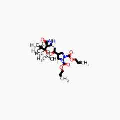 C=CCOC(=O)N1CC(C(=O)C[C@H]2NC(=O)[C@@H]2[C@@](C)(O[SiH](C)C)C(C)(C)C)CN1C(=O)OCC=C